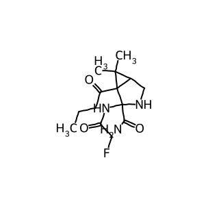 CCCC(=O)C12C(CNC1(NC(=O)CF)C(N)=O)C2(C)C